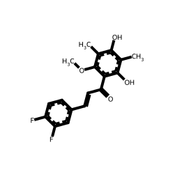 COc1c(C)c(O)c(C)c(O)c1C(=O)C=Cc1ccc(F)c(F)c1